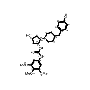 COc1cc(NC(=O)N[C@@H]2CCC[C@H]2N2CCC(Cc3ccc(Cl)cc3)CC2)cc(OC)c1OC.Cl